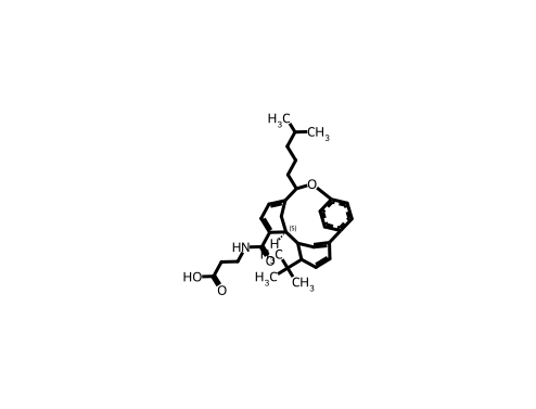 CC(C)CCCC1Oc2ccc(cc2)C2=CC(C(C(C)(C)C)C=C2)[C@@H]2CC1=CC=C2C(=O)NCCC(=O)O